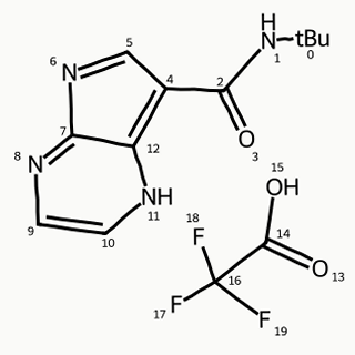 CC(C)(C)NC(=O)c1cnc2ncc[nH]c1-2.O=C(O)C(F)(F)F